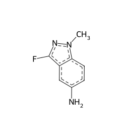 Cn1nc(F)c2cc(N)ccc21